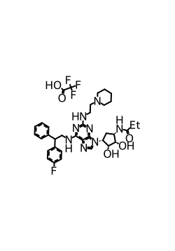 CCC(=O)N[C@H]1C[C@@H](n2cnc3c(NCC(c4ccccc4)c4ccc(F)cc4)nc(NCCN4CCCCC4)nc32)[C@H](O)[C@@H]1O.O=C(O)C(F)(F)F